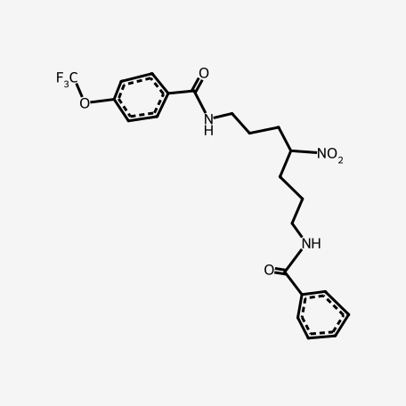 O=C(NCCCC(CCCNC(=O)c1ccc(OC(F)(F)F)cc1)[N+](=O)[O-])c1ccccc1